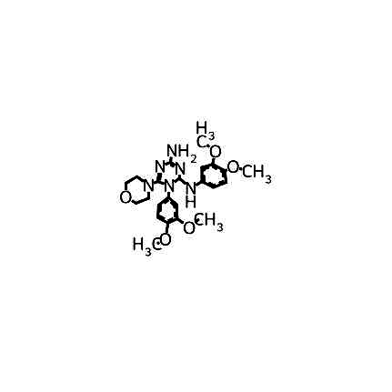 COc1ccc(NC2N=C(N)N=C(N3CCOCC3)N2c2ccc(OC)c(OC)c2)cc1OC